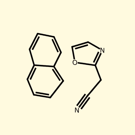 N#CCc1ncco1.c1ccc2ccccc2c1